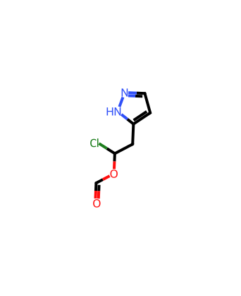 O=COC(Cl)Cc1ccn[nH]1